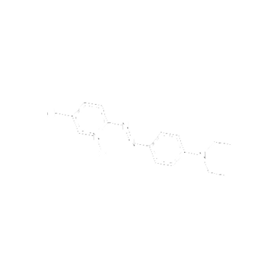 CCN(CC)c1ccc(N=Nc2ccc(Cl)c[n+]2[O-])cc1